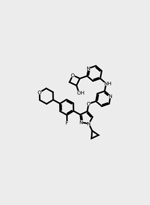 OC1COC1c1cc(Nc2cc(Oc3cn(C4CC4)nc3-c3ccc(C4CCOCC4)cc3F)ccn2)ccn1